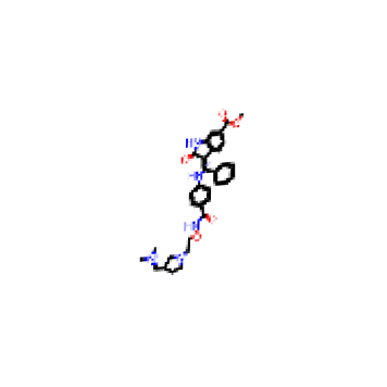 COC(=O)c1ccc2c(c1)NC(=O)/C2=C(\Nc1ccc(C(=O)NOCCN2CCC(C=[N+](C)C)C2)cc1)c1ccccc1